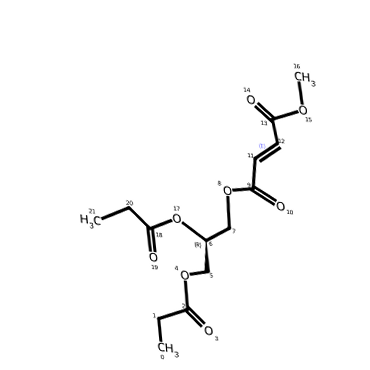 CCC(=O)OC[C@H](COC(=O)/C=C/C(=O)OC)OC(=O)CC